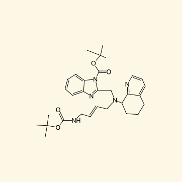 CC(C)(C)OC(=O)NCC=CCN(Cc1nc2ccccc2n1C(=O)OC(C)(C)C)C1CCCc2cccnc21